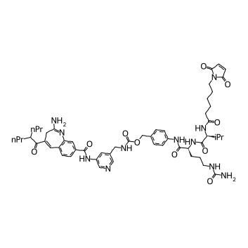 CCCC(CCC)C(=O)C1=Cc2ccc(C(=O)Nc3cncc(CNC(=O)OCc4ccc(NC(=O)[C@H](CCCNC(N)=O)NC(=O)[C@@H](NC(=O)CCCCCN5C(=O)C=CC5=O)C(C)C)cc4)c3)cc2N=C(N)C1